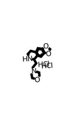 Cl.Cl.c1c2c(cc3c1OCO3)C(CCN1CCOCC1)NCC2